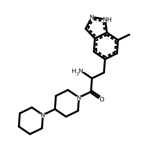 Cc1cc(CC(N)C(=O)N2CCC(N3CCCCC3)CC2)cc2cn[nH]c12